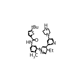 CCC1C=NN(c2cc(NC(=O)c3ccc(C(C)(C)C)s3)ccc2C)C=C1c1cncc(N2CCNCC2)c1